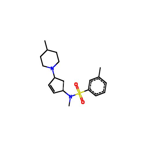 Cc1cccc(S(=O)(=O)N(C)C2C=CC(N3CCC(C)CC3)C2)c1